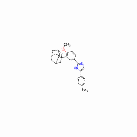 COc1ccc(-c2ncc(-c3ccc(C)cc3)[nH]2)cc1C12CC3CC(CC(C3)C1)C2